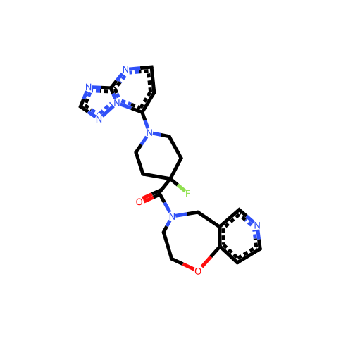 O=C(N1CCOc2ccncc2C1)C1(F)CCN(c2ccnc3ncnn23)CC1